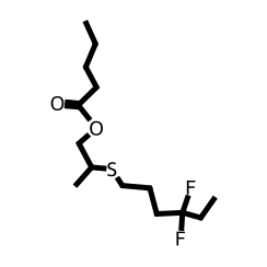 CCCCC(=O)OCC(C)SCCCC(F)(F)CC